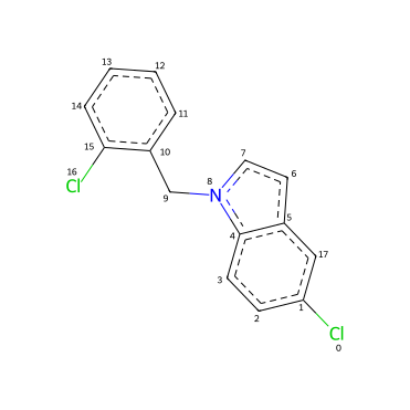 Clc1ccc2c(ccn2Cc2ccccc2Cl)c1